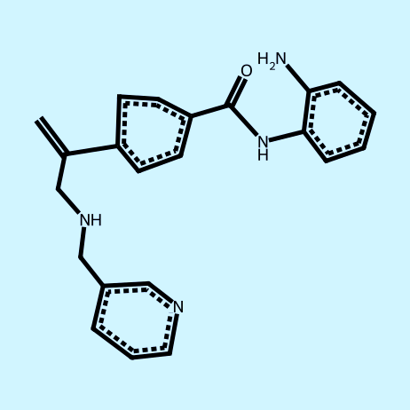 C=C(CNCc1cccnc1)c1ccc(C(=O)Nc2ccccc2N)cc1